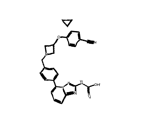 C1CC1.N#Cc1ccc(OC2CN(Cc3ccc(-c4cccc5nc(NC(=O)O)nn45)cc3)C2)cc1